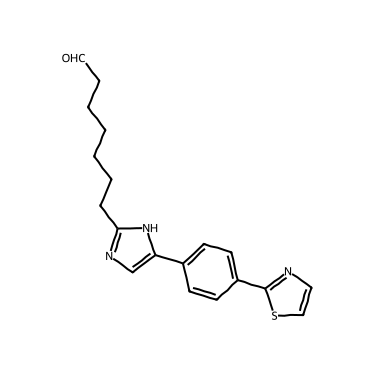 O=CCCCCCCc1ncc(-c2ccc(-c3nccs3)cc2)[nH]1